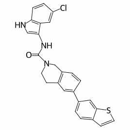 O=C(Nc1c[nH]c2ccc(Cl)cc12)N1CCc2cc(-c3ccc4ccsc4c3)ccc2C1